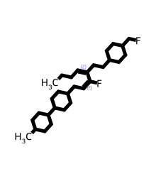 CCC/C=C(CCC1CCC(CF)CC1)\C(F)=C/CC1CCC(C2CCC(C)CC2)CC1